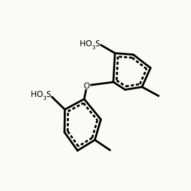 Cc1ccc(S(=O)(=O)O)c(Oc2cc(C)ccc2S(=O)(=O)O)c1